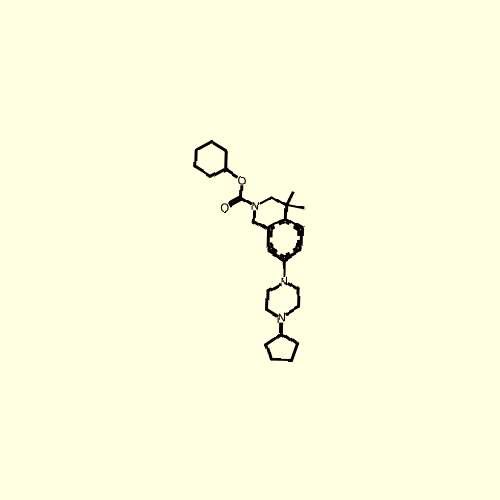 CC1(C)CN(C(=O)OC2CCCCC2)Cc2cc(N3CCN(C4CCCC4)CC3)ccc21